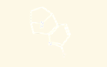 Fc1ccc2c(n1)CC1CCC2N1